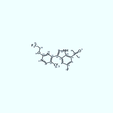 CP(C)(=O)c1cc(F)cc2c(-c3nc(OCC(F)(F)F)ncc3C(F)(F)F)c[nH]c12